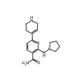 NC(=O)c1ccc(C2=CCNCC2)nc1NN1CCCC1